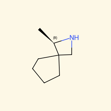 C[C@H]1NCC12CCCC2